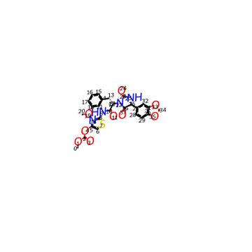 COC(=O)Oc1csc(NC(=O)[C@H](Cc2cccc(OC)c2)N2C(=O)NC(c3ccc4c(c3)OCO4)C2=O)n1